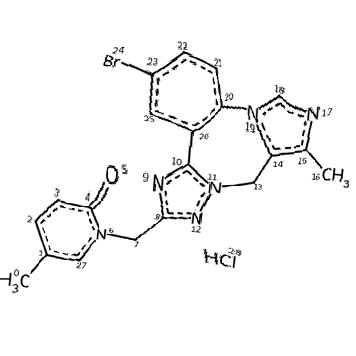 Cc1ccc(=O)n(Cc2nc3n(n2)Cc2c(C)ncn2-c2ccc(Br)cc2-3)c1.Cl